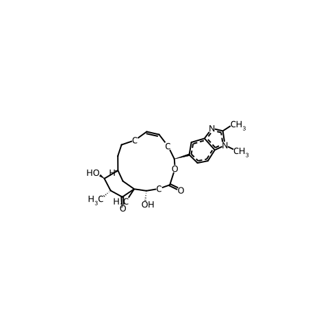 Cc1nc2cc([C@@H]3C/C=C\CCC[C@@H]4CC(C)(C(=O)[C@H](C)[C@H]4O)[C@@H](O)CC(=O)O3)ccc2n1C